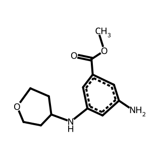 COC(=O)c1cc(N)cc(NC2CCOCC2)c1